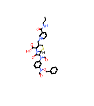 CCCNC(=O)c1ccc[n+](CC2=C(C(=O)O)N3C(=O)C(N(C=O)c4cccc(N(C=O)OCc5ccccc5)c4)[C@H]3SC2)c1